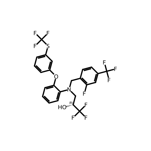 O[C@H](CN(Cc1ccc(C(F)(F)F)cc1F)c1ccccc1Oc1cccc(SC(F)(F)F)c1)C(F)(F)F